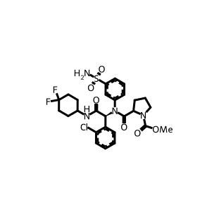 COC(=O)N1CCCC1C(=O)N(c1cccc(S(N)(=O)=O)c1)[C@H](C(=O)NC1CCC(F)(F)CC1)c1ccccc1Cl